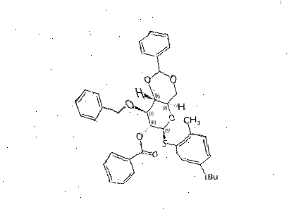 Cc1ccc(C(C)(C)C)cc1S[C@@H]1O[C@@H]2COC(c3ccccc3)O[C@H]2[C@H](OCc2ccccc2)[C@H]1OC(=O)c1ccccc1